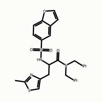 Cc1nc(CC(NS(=O)(=O)c2ccc3occc3c2)C(=O)N(CC(C)C)CC(C)C)cs1